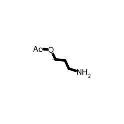 CC(=O)O[CH]CCN